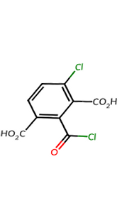 O=C(O)c1ccc(Cl)c(C(=O)O)c1C(=O)Cl